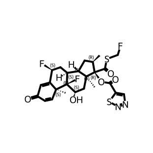 C[C@@H]1C[C@H]2[C@@H]3C[C@H](F)C4=CC(=O)C=C[C@]4(C)[C@@]3(F)[C@@H](O)C[C@]2(C)[C@@]1(OC(=O)c1cnns1)C(=O)SCF